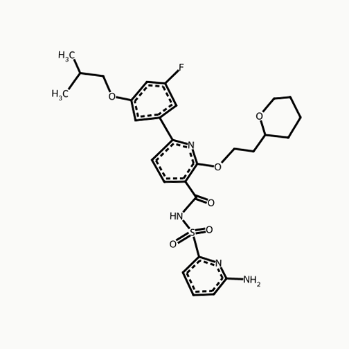 CC(C)COc1cc(F)cc(-c2ccc(C(=O)NS(=O)(=O)c3cccc(N)n3)c(OCCC3CCCCO3)n2)c1